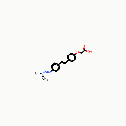 CN(C)N=Nc1ccc(C=Cc2ccc(OCC(=O)O)cc2)cc1